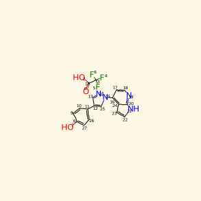 O=C(O)C(F)(F)F.Oc1ccc(-c2cnn(-c3ccnc4[nH]ccc34)c2)cc1